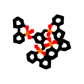 O=P1(Cc2cc(OP3(=O)Oc4ccccc4-c4ccccc43)cc(CP3(=O)Oc4ccccc4-c4ccccc43)c2OP2(=O)Oc3ccccc3-c3ccccc32)Oc2ccccc2-c2ccccc21